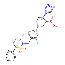 COC(=O)C1CN(c2ccc(CN3[C@@H](C)CC[C@H](c4ccccc4)S3(=O)=O)c(F)c2)CC[C@H]1n1cnnc1